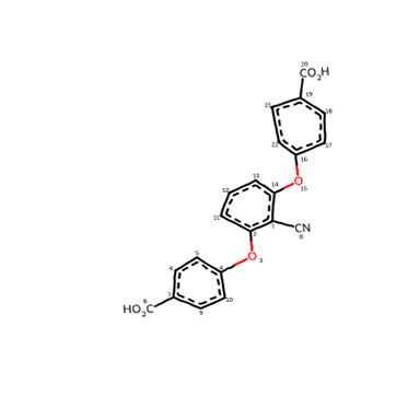 N#Cc1c(Oc2ccc(C(=O)O)cc2)cccc1Oc1ccc(C(=O)O)cc1